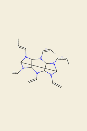 C=CN1C2C3N(C=CC)C1C1N(C=C)C(C(N3/C=C\C)N1/C=C\C)N2C=C